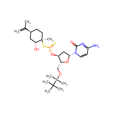 C=C(C)[C@H]1CC[C@@](C)(S[PH](=S)O[C@H]2C[C@H](n3ccc(N)nc3=O)O[C@@H]2CO[Si](C)(C)C(C)(C)C)[C@H](O)C1